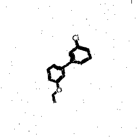 CCOc1cccc(-c2[c]ccc(Cl)c2)c1